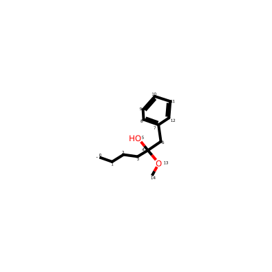 [CH2]CCCC(O)(Cc1ccccc1)OC